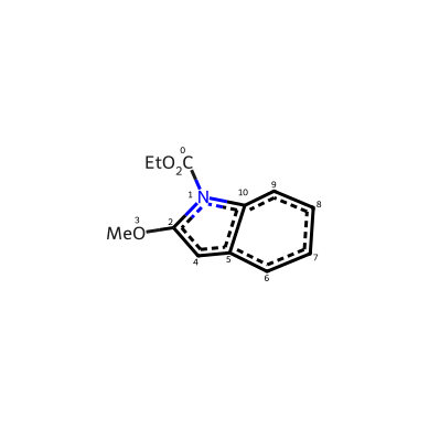 CCOC(=O)n1c(OC)cc2ccccc21